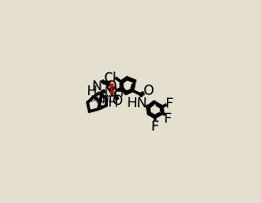 O=C(Nc1cc(F)c(F)c(F)c1)c1ccc(Cl)c(S(=O)(=O)[C@@H]2CC3CC[C@@H](C2)[C@@]3(O)c2ncc[nH]2)c1